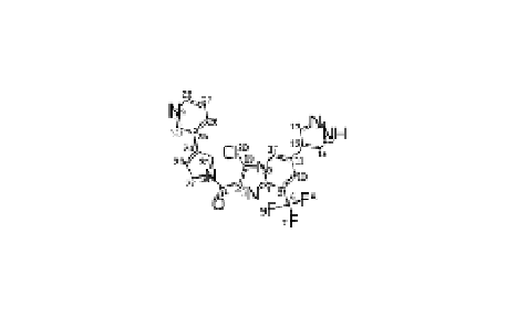 O=C(c1nc2c(C(F)(F)F)cc(-c3cn[nH]c3)cn2c1Cl)N1CC=C(c2cccnc2)C1